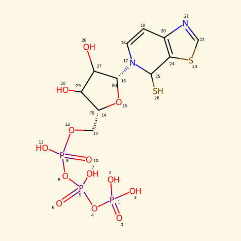 O=P(O)(O)OP(=O)(O)OP(=O)(O)OC[C@H]1O[C@@H](N2C=Cc3ncsc3C2S)C(O)C1O